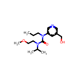 [CH2]CCN(C(=O)N(CCOC)C(C)C)c1cncc(CO)c1